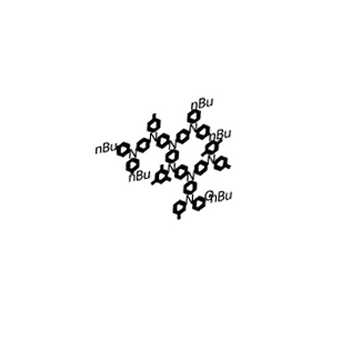 CCCCOc1cccc(N(c2ccc(N(c3ccc(N(c4ccc(C)cc4)c4cc(C)ccc4C)cc3)c3ccc(N(c4ccc(N(c5ccc(N(c6ccc(CCCC)cc6)c6ccc(CCCC)cc6)cc5)c5ccc(N(c6ccc(C)cc6)c6ccc(N(c7ccc(CCCC)cc7)c7ccc(CCCC)cc7)cc6)cc5)cc4)c4c(C)cc(C)cc4C)cc3)cc2)c2cccc(C)c2)c1